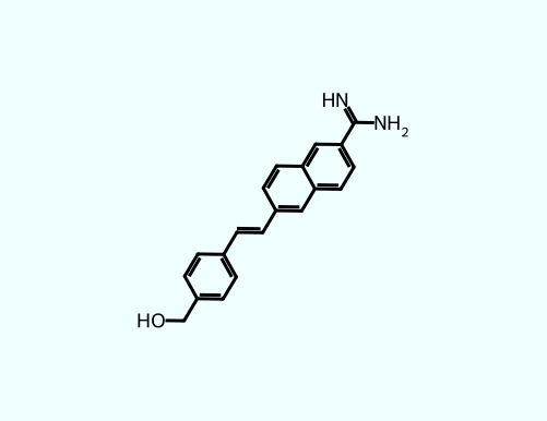 N=C(N)c1ccc2cc(/C=C/c3ccc(CO)cc3)ccc2c1